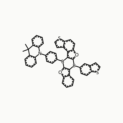 CC1(C)c2ccccc2N(c2ccc(B3c4oc5ccccc5c4B(c4ccc5sccc5c4)c4oc5ccc6sccc6c5c43)cc2)c2ccccc21